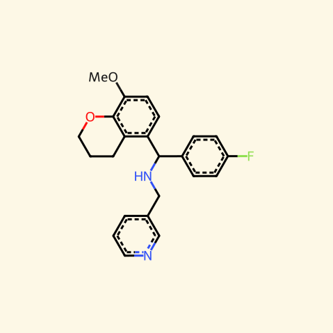 COc1ccc(C(NCc2cccnc2)c2ccc(F)cc2)c2c1OCCC2